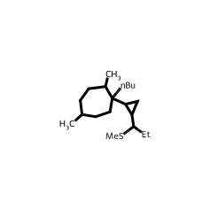 CCCCC1(C2CC2C(CC)SC)CCC(C)CCC1C